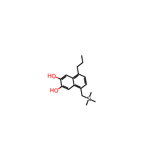 CCCc1ccc(C[Si](C)(C)C)c2cc(O)c(O)cc12